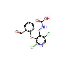 O=Cc1ccccc1Sc1c(Cl)ncc(Cl)c1CNC(=O)O